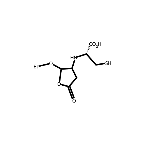 CCOC1OC(=O)CC1N[C@@H](CS)C(=O)O